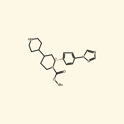 CC(C)(C)OC(=O)N1CCC(C2CCNCC2)C[C@@H]1c1ccc(-n2cncn2)cc1